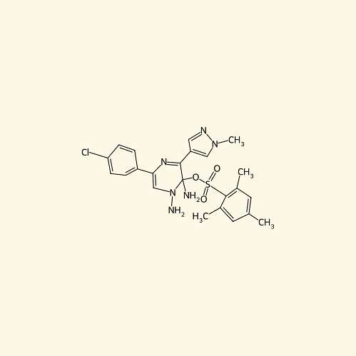 Cc1cc(C)c(S(=O)(=O)OC2(N)C(c3cnn(C)c3)=NC(c3ccc(Cl)cc3)=CN2N)c(C)c1